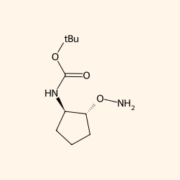 CC(C)(C)OC(=O)N[C@@H]1CCC[C@H]1ON